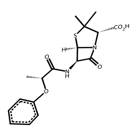 C[C@@H](Oc1ccccc1)C(=O)N[C@@H]1C(=O)N2[C@@H]1SC(C)(C)[C@@H]2C(=O)O